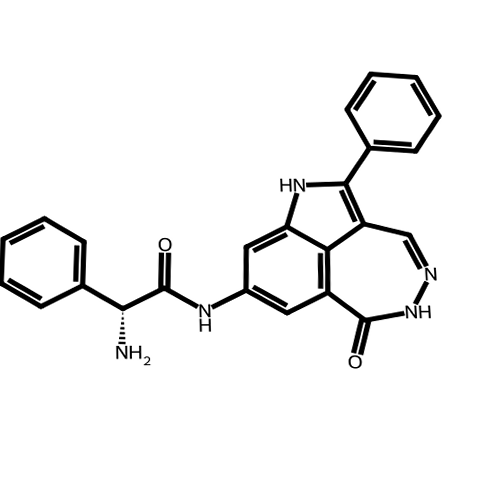 N[C@@H](C(=O)Nc1cc2c3c(c(-c4ccccc4)[nH]c3c1)C=NNC2=O)c1ccccc1